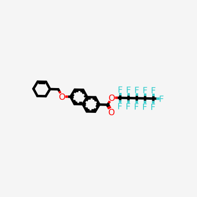 O=C(OC(F)(F)C(F)(F)C(F)(F)C(F)(F)C(F)(F)F)c1ccc2cc(OCC3C=CCCC3)ccc2c1